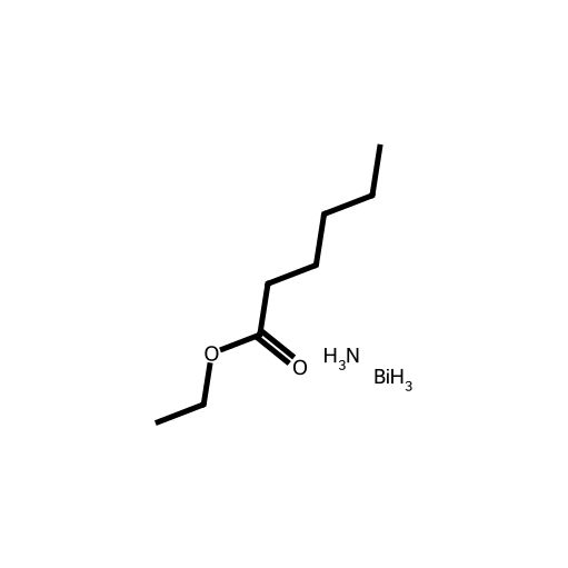 CCCCCC(=O)OCC.N.[BiH3]